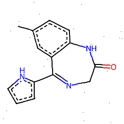 Cc1ccc2c(c1)C(c1ccc[nH]1)=NCC(=O)N2